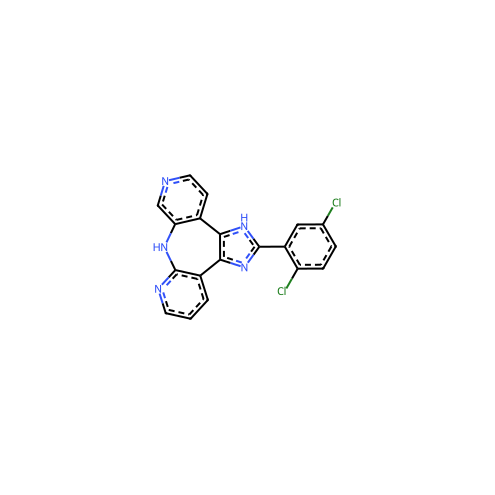 Clc1ccc(Cl)c(-c2nc3c([nH]2)-c2ccncc2Nc2ncccc2-3)c1